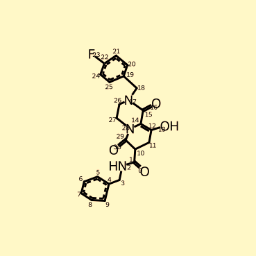 O=C(NCc1ccccc1)C1CC(O)=C2C(=O)N(Cc3ccc(F)cc3)CCN2C1=O